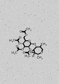 CC(=O)OCC1O[C@@H](O[C@@H]2C(C)CO[C@H](C)[C@@H]3OC23)[C@@H](OC(C)=O)C(OC(C)=O)[C@@H]1OC(C)=O